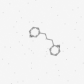 [CH](Cc1cccnc1)Cc1ccccn1